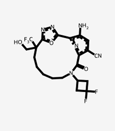 N#Cc1cc(N)c2nc1C(=O)N(C1CC(F)(F)C1)CCCCCC(CO)(C(F)(F)F)c1nnc-2o1